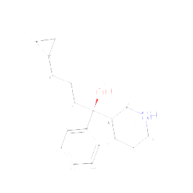 O[C@](CCCC1CC1)(c1ccccc1)C1CCCNC1